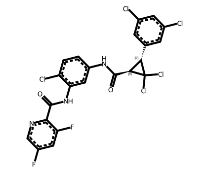 O=C(Nc1cc(NC(=O)[C@H]2[C@H](c3cc(Cl)cc(Cl)c3)C2(Cl)Cl)ccc1Cl)c1ncc(F)cc1F